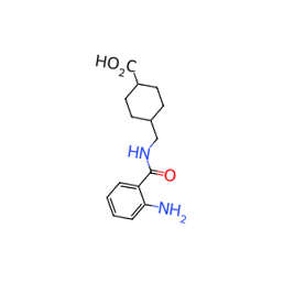 Nc1ccccc1C(=O)NCC1CCC(C(=O)O)CC1